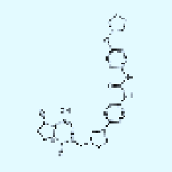 O=C(Nc1ccc(OC2CCCC2)cc1)Nc1ccc(N2CCC(CNC(=O)[C@@H]3CCC(=O)N3C(=O)O)C2)cc1